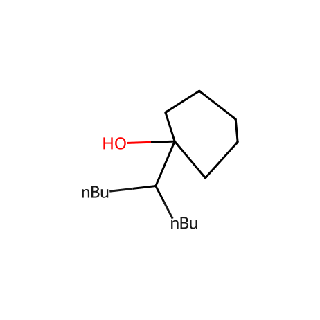 CCCCC(CCCC)C1(O)CCCCC1